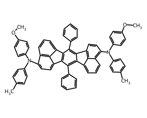 COc1ccc(N(c2ccc(C)cc2)c2ccc3c4c(-c5ccccc5)c5c6cccc7c(N(c8ccc(C)cc8)c8ccc(OC)cc8)ccc(c5c(-c5ccccc5)c4c4cccc2c43)c76)cc1